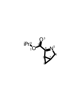 CC(C)OC(=O)C1=NCC2CC12